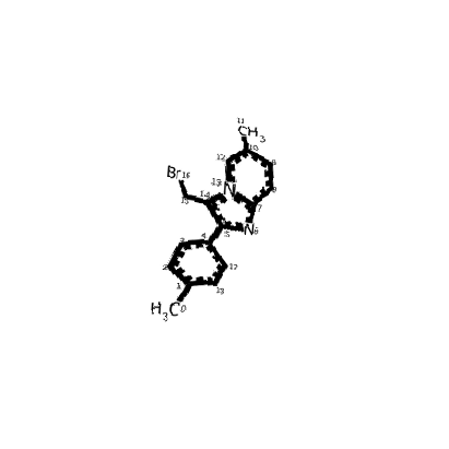 Cc1ccc(-c2nc3ccc(C)cn3c2CBr)cc1